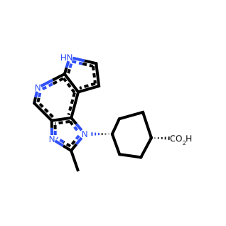 Cc1nc2cnc3[nH]ccc3c2n1[C@H]1CC[C@@H](C(=O)O)CC1